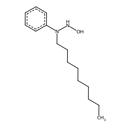 CCCCCCCCCN(NO)c1ccccc1